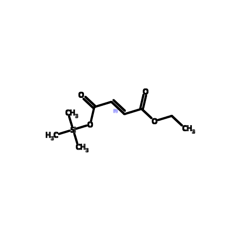 CCOC(=O)/C=C/C(=O)O[Si](C)(C)C